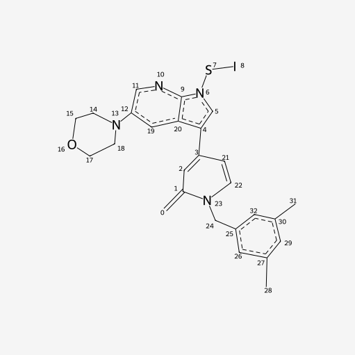 C=C1C=C(c2cn(SI)c3ncc(N4CCOCC4)cc23)C=CN1Cc1cc(C)cc(C)c1